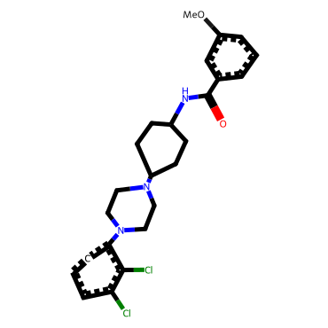 COc1cccc(C(=O)NC2CCC(N3CCN(c4cccc(Cl)c4Cl)CC3)CC2)c1